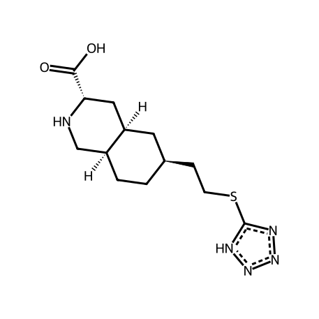 O=C(O)[C@@H]1C[C@H]2C[C@@H](CCSc3nnn[nH]3)CC[C@H]2CN1